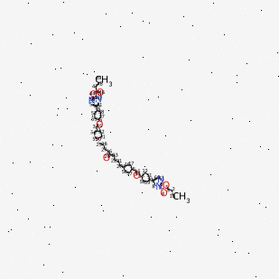 CCCC(=O)Oc1ncc([C@H]2CC[C@H](OCC3CCC(CCCCC(=O)CCCC[C@H]4CC[C@H](CO[C@H]5CC[C@H](c6cnc(OC(=O)CCC)nc6)CC5)CC4)CC3)CC2)cn1